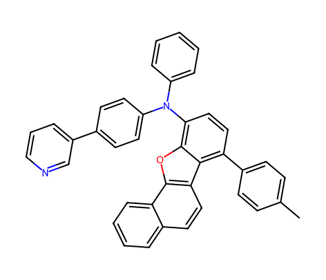 Cc1ccc(-c2ccc(N(c3ccccc3)c3ccc(-c4cccnc4)cc3)c3oc4c5ccccc5ccc4c23)cc1